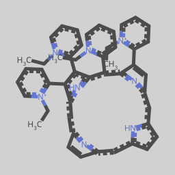 CC[n+]1ccccc1C1=Cc2cc3ccc(cc4nc(cc5[nH]c(c(-c6cccc[n+]6CC)c1n2)c(-c1cccc[n+]1CC)c5-c1cccc[n+]1CC)C=C4)[nH]3